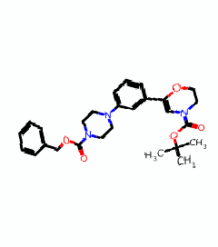 CC(C)(C)OC(=O)N1C=C(c2cccc(N3CCN(C(=O)OCc4ccccc4)CC3)c2)OCC1